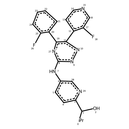 CC(C)C(O)c1ccc(Nc2nnc(-c3ccncc3F)c(-c3ccccc3F)n2)cn1